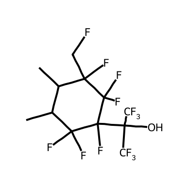 CC1C(C)C(F)(CF)C(F)(F)C(F)(C(O)(C(F)(F)F)C(F)(F)F)C1(F)F